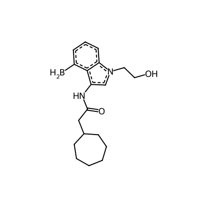 Bc1cccc2c1c(NC(=O)CC1CCCCCC1)cn2CCO